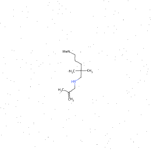 C=C(C)CNCC(C)(C)CCCNC